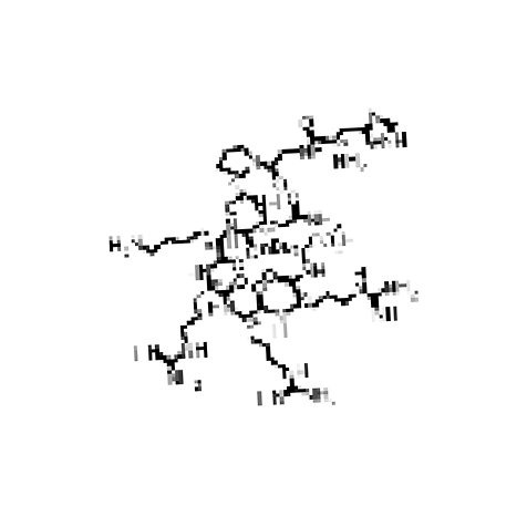 CCCC[C@H](NC(=O)[C@H](CCCNC(=N)N)NC(=O)[C@H](CCCNC(=N)N)NC(=O)[C@H](CCCNC(=N)N)NC(=O)[C@H](CCCCN)NC(=O)[C@H](CC(N)=O)NC(=O)[C@@H]1CCCN1C(=O)CNC(=O)[C@@H](N)Cc1c[nH]cn1)C(=O)O